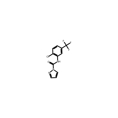 O=C(Nc1cc(C(F)(F)F)ccc1Cl)n1cc[c]n1